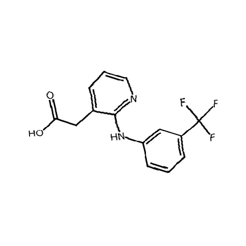 O=C(O)Cc1cccnc1Nc1cccc(C(F)(F)F)c1